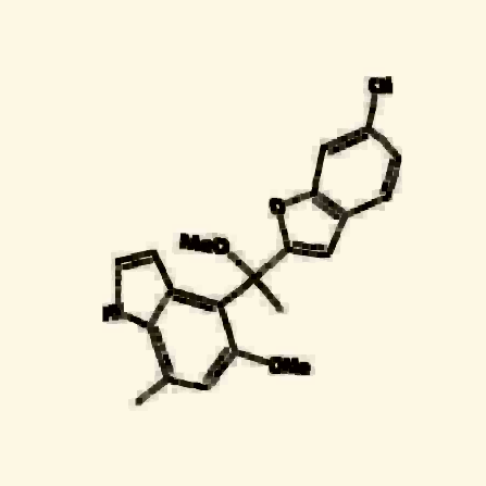 COc1cc(C)c2[nH]ccc2c1C(C)(OC)c1cc2ccc(C#N)cc2o1